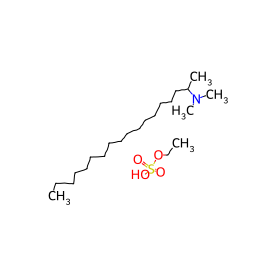 CCCCCCCCCCCCCCCCC(C)N(C)C.CCOS(=O)(=O)O